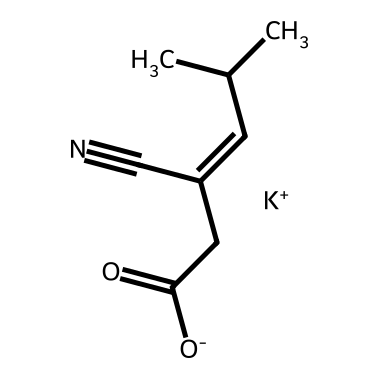 CC(C)C=C(C#N)CC(=O)[O-].[K+]